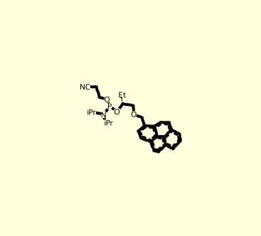 CC[C@H](COCc1ccc2ccc3cccc4ccc1c2c34)OP(OCCC#N)N(C(C)C)C(C)C